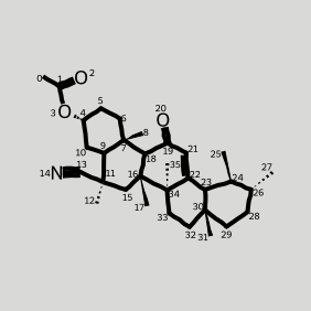 CC(=O)O[C@@H]1CC[C@@]2(C)C(C1)[C@](C)(C#N)C[C@]1(C)C2C(=O)C=C2C3[C@@H](C)[C@H](C)CC[C@]3(C)CC[C@]21C